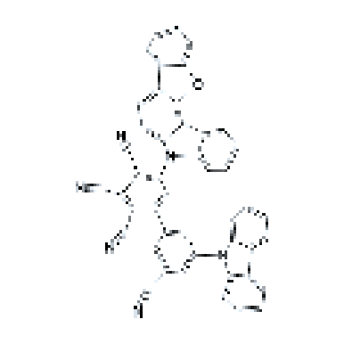 N#Cc1cc(-c2cc(-n3c4ccccc4c4c5oc6ccccc6c5ccc43)c(C#N)c(C#N)c2C#N)cc(-n2c3ccccc3c3ccccc32)c1